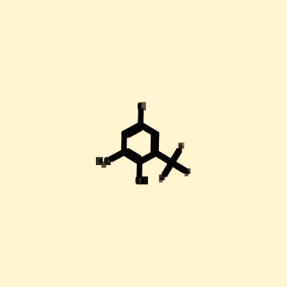 Cc1cc(Cl)cc(C(F)(F)F)c1O